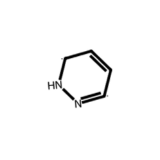 [C]1=NN[CH]C=C1